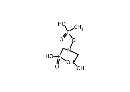 CP(=O)(O)ON(CCO)CP(=O)(O)O